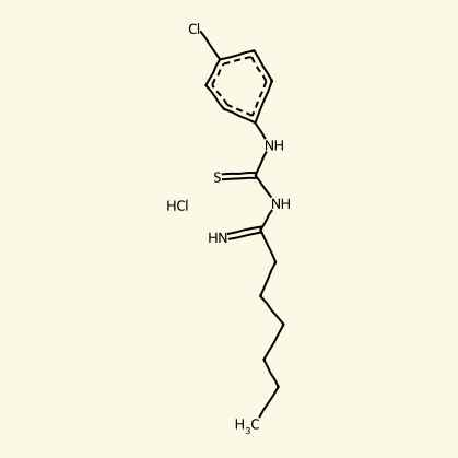 CCCCCCC(=N)NC(=S)Nc1ccc(Cl)cc1.Cl